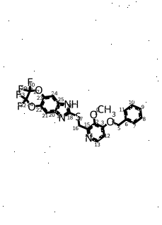 COc1c(OCc2ccccc2)ccnc1CSc1nc2cc3c(cc2[nH]1)OC(F)(F)C(F)(F)O3